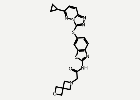 O=C(CN1CC2(COC2)C1)Nc1nc2ccc(Sc3nnc4ccc(C5CC5)nn34)cc2s1